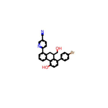 N#Cc1ccc(-c2cccc3c2CC(CO)c2c(-c4ccc(Br)cc4)ccc(O)c2-3)nc1